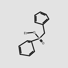 CCOP(=O)(Cc1ccccc1)c1ccccc1